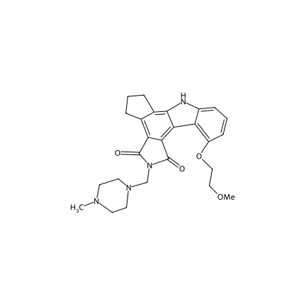 COCCOc1cccc2[nH]c3c4c(c5c(c3c12)C(=O)N(CN1CCN(C)CC1)C5=O)CCC4